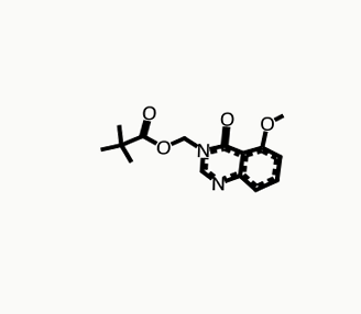 COc1cccc2ncn(COC(=O)C(C)(C)C)c(=O)c12